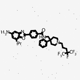 CC(C)c1cc(N)cc2nc(-c3ccc(C(=O)NCC4(c5ccccc5)CCN(CCCC(F)(C(F)(F)F)C(F)(F)F)CC4)cc3)oc12